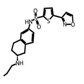 CCCN[C@H]1CCc2cc(NS(=O)(=O)c3ccc(-c4ccon4)s3)ccc2C1